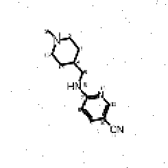 CN1CCC(CNc2ccc(C#N)cn2)CC1